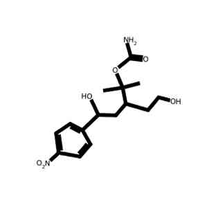 CC(C)(OC(N)=O)C(CCO)CC(O)c1ccc([N+](=O)[O-])cc1